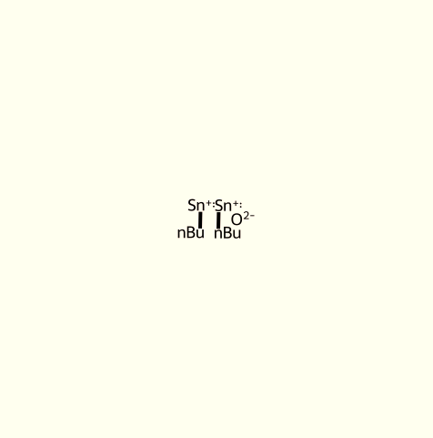 CCC[CH2][Sn+].CCC[CH2][Sn+].[O-2]